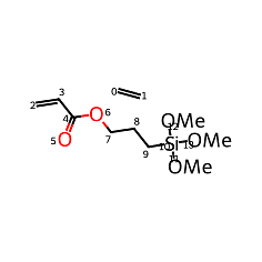 C=C.C=CC(=O)OCCC[Si](OC)(OC)OC